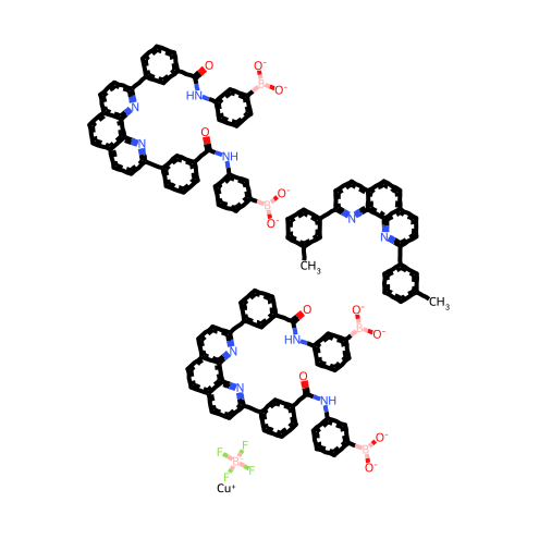 Cc1cccc(-c2ccc3ccc4ccc(-c5cccc(C)c5)nc4c3n2)c1.F[B-](F)(F)F.O=C(Nc1cccc(B([O-])[O-])c1)c1cccc(-c2ccc3ccc4ccc(-c5cccc(C(=O)Nc6cccc(B([O-])[O-])c6)c5)nc4c3n2)c1.O=C(Nc1cccc(B([O-])[O-])c1)c1cccc(-c2ccc3ccc4ccc(-c5cccc(C(=O)Nc6cccc(B([O-])[O-])c6)c5)nc4c3n2)c1.[Cu+]